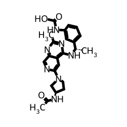 CC(=O)N[C@@H]1CCN(c2cc3c(N[C@@H](C)c4cccc(NC(=O)O)c4)nc(C)nc3cn2)C1